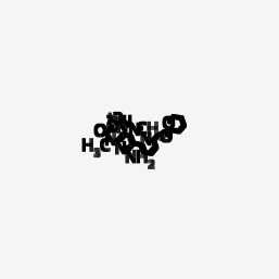 CN(C(=O)OC(C)(C)C)c1nc(N)c(-c2cccc(COC3CCCCO3)n2)c2c1ncn2C